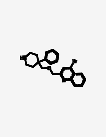 Brc1cc(COCC2(c3ccccc3)CCNCC2)nc2ccccc12